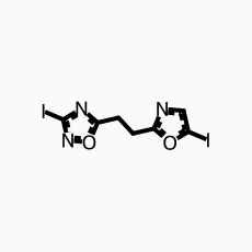 Ic1noc(CCc2ncc(I)o2)n1